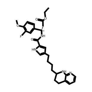 CCOC(=O)C[C@H](NC(=O)c1cc(CCCCC2CCc3cccnc3N2)c[nH]1)c1ccc(OC)c(F)c1